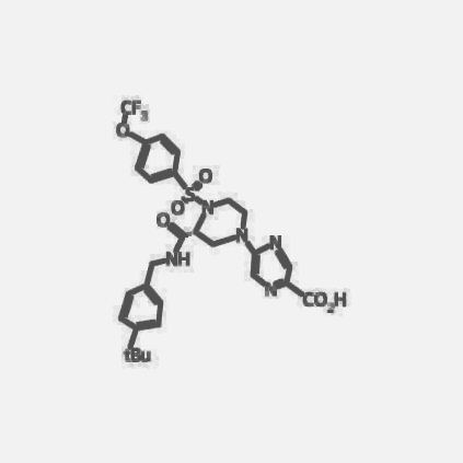 CC(C)(C)c1ccc(CNC(=O)[C@H]2CN(c3cnc(C(=O)O)cn3)CCN2S(=O)(=O)c2ccc(OC(F)(F)F)cc2)cc1